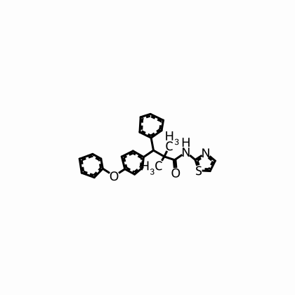 CC(C)(C(=O)Nc1nccs1)C(c1ccccc1)c1ccc(Oc2ccccc2)cc1